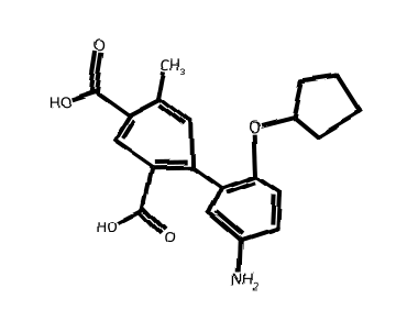 Cc1cc(-c2cc(N)ccc2OC2CCCC2)c(C(=O)O)cc1C(=O)O